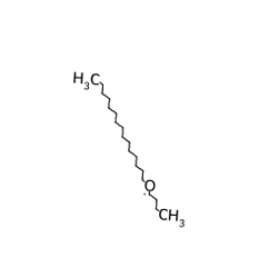 CCC[CH]OCCCCCCCCCCCCCCC